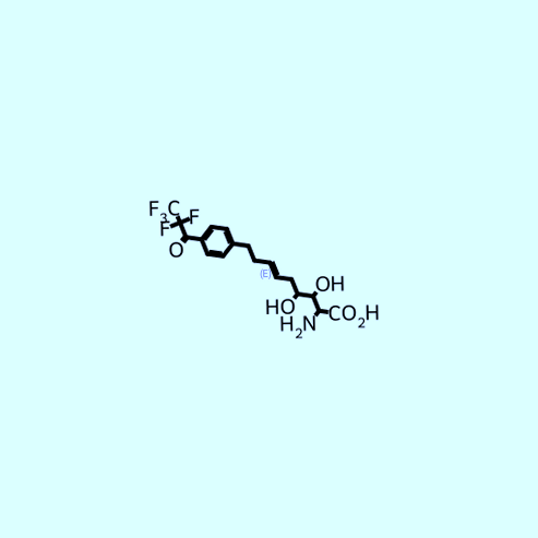 NC(C(=O)O)C(O)C(O)C/C=C/CCc1ccc(C(=O)C(F)(F)C(F)(F)F)cc1